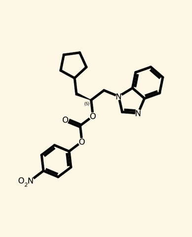 O=C(Oc1ccc([N+](=O)[O-])cc1)O[C@@H](CC1CCCC1)Cn1cnc2ccccc21